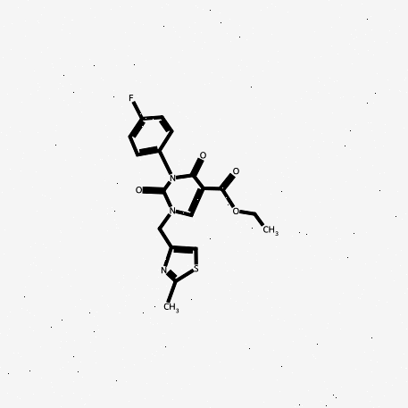 CCOC(=O)c1cn(Cc2csc(C)n2)c(=O)n(-c2ccc(F)cc2)c1=O